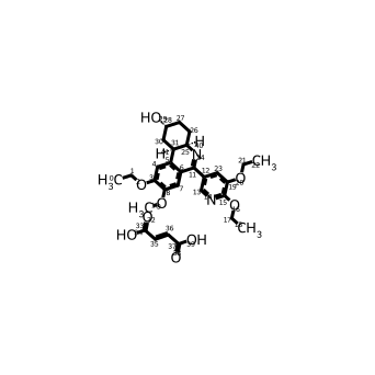 CCOc1cc2c(cc1OC)C(c1cnc(OCC)c(OCC)c1)=N[C@@H]1CC[C@@H](O)C[C@H]21.O=C(O)C=CC(=O)O